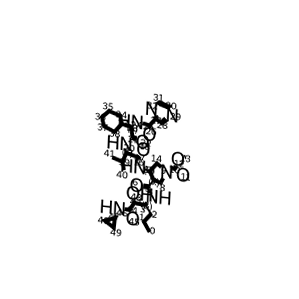 CCC[C@H](NC(=O)[C@@H]1CN(C(=O)OC)C[C@@H]1NC(=O)[C@@H](NC(=O)[C@@H](NC(=O)c1cnccn1)C1CCCCC1)C(C)C)C(O)C(=O)NC1CC1